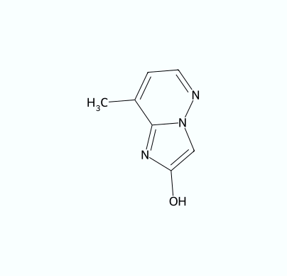 Cc1ccnn2cc(O)nc12